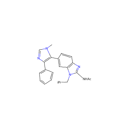 CC(=O)Nc1nc2ccc(-c3c(-c4ccccc4)ncn3C)cc2n1CC(C)C